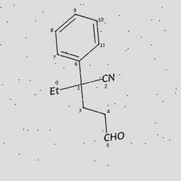 CCC(C#N)(CCC=O)c1ccccc1